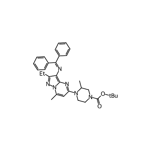 CCc1nn2c(C)cc(N3CCN(C(=O)OC(C)(C)C)CC3C)nc2c1N=C(c1ccccc1)c1ccccc1